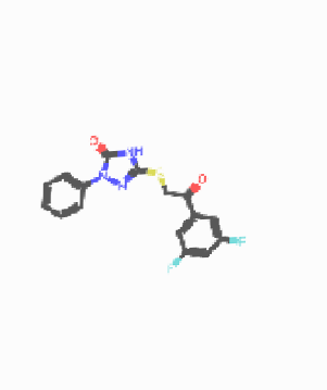 O=C(CSc1nn(-c2ccccc2)c(=O)[nH]1)c1cc(F)cc(F)c1